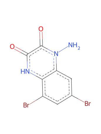 Nn1c(=O)c(=O)[nH]c2c(Br)cc(Br)cc21